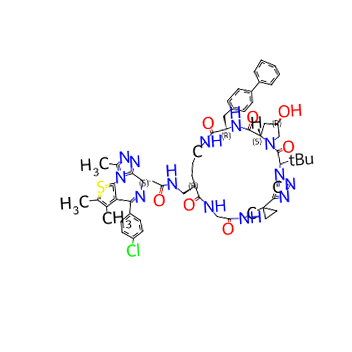 Cc1sc2c(c1C)C(c1ccc(Cl)cc1)=N[C@@H](CC(=O)NC[C@H]1CCCNC(=O)[C@@H](Cc3ccc(-c4ccccc4)cc3)NC(=O)[C@@H]3C[C@@H](O)CN3C(=O)C(C(C)(C)C)n3cc(nn3)C3(CC3)CNC(=O)CNC1=O)c1nnc(C)n1-2